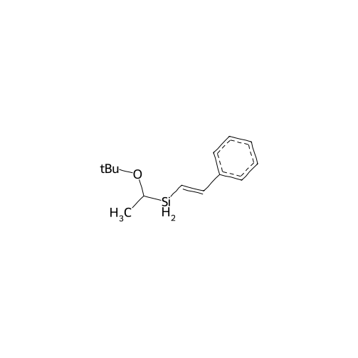 CC(OC(C)(C)C)[SiH2]C=Cc1ccccc1